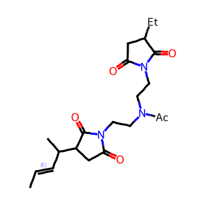 C/C=C/C(C)C1CC(=O)N(CCN(CCN2C(=O)CC(CC)C2=O)C(C)=O)C1=O